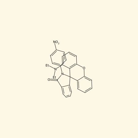 CCN(CC)c1cccc2c1C1(c3ccccc3O2)c2ccccc2C(=O)N1c1ccc([N+](=O)[O-])cc1